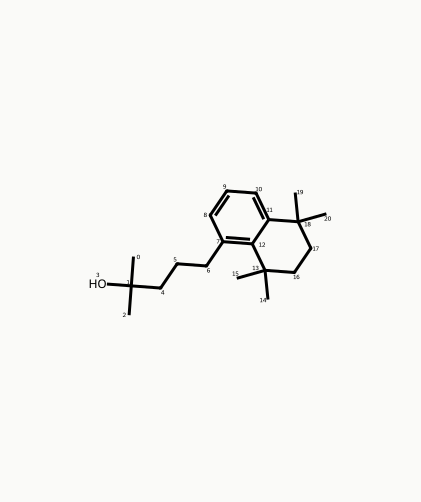 CC(C)(O)CCCc1cccc2c1C(C)(C)CCC2(C)C